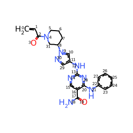 C=CC(=O)N1CCC[C@@H](n2cc(Nc3ncc(C(N)=O)c(Nc4ccccc4)n3)cn2)C1